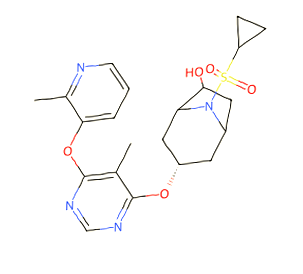 Cc1ncccc1Oc1ncnc(O[C@H]2CC3CC(O)C(C2)N3S(=O)(=O)C2CC2)c1C